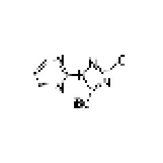 CCC(C)c1nc(Cl)nn1-c1ncccn1